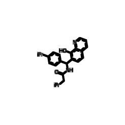 CC(C)CC(=O)NC(c1ccc(C(C)C)cc1)c1ccc2cccnc2c1O